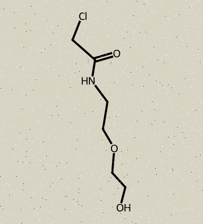 O=C(CCl)NCCOCCO